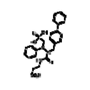 O=C(O)CCNC(=O)[C@H](Cc1ccc(-c2ccccc2)cc1)N(CP(=O)(O)O)c1ccccc1